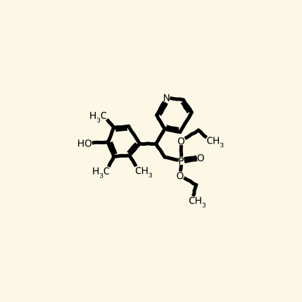 CCOP(=O)(CC(c1cccnc1)c1cc(C)c(O)c(C)c1C)OCC